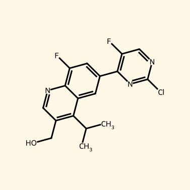 CC(C)c1c(CO)cnc2c(F)cc(-c3nc(Cl)ncc3F)cc12